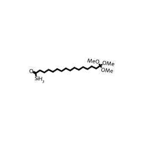 COC(CCCCCCCCCCCCCCC(=O)[SiH3])(OC)OC